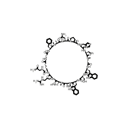 CCCCC[C@H]1C(=O)N[C@@H](CCCNC(=N)N)C(=O)N[C@H](C(=O)NCC(N)=O)CCC(=O)NCC(=O)N[C@@H](Cc2ccccc2)C(=O)N(C)[C@@H](C)C(=O)N[C@@H](CC(N)=O)C(=O)N2CCC[C@H]2C(=O)N[C@@H](Cc2cnc[nH]2)C(=O)N[C@@H](CC(C)C)C(=O)N(C)CC(=O)N[C@@H](Cc2c[nH]c3ccccc23)C(=O)N[C@@H](CO)C(=O)N[C@@H](Cc2c[nH]c3ccccc23)C(=O)N(C)[C@@H](CCCC)C(=O)N1C